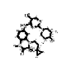 C[C@@H]1CN(c2ncc(Cl)c(Nc3ccc4c(c3)N(CCC3(O)CC3)C(O)C(=O)N4C)n2)C[C@H](C)C1F